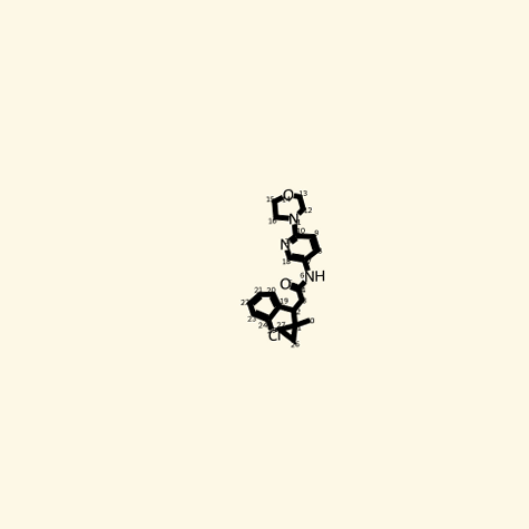 CC1(C(CC(=O)Nc2ccc(N3CCOCC3)nc2)c2ccccc2Cl)CC1